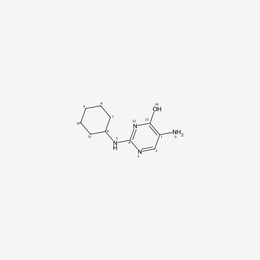 Nc1cnc(NC2CCCCC2)nc1O